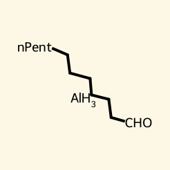 CCCCCCCCCCCC=O.[AlH3]